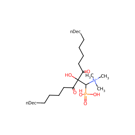 CCCCCCCCCCCCCCC(=O)C(O)(C(=O)CCCCCCCCCCCCCC)C([N+](C)(C)C)P(=O)(O)O